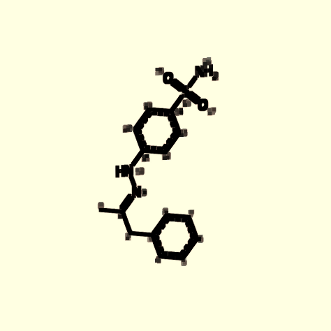 CC(Cc1ccccc1)=NNc1ccc(S(N)(=O)=O)cc1